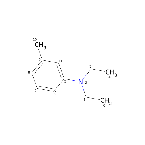 CCN(CC)c1[c]ccc(C)c1